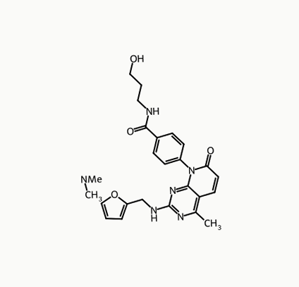 CNC.Cc1nc(NCc2ccco2)nc2c1ccc(=O)n2-c1ccc(C(=O)NCCCO)cc1